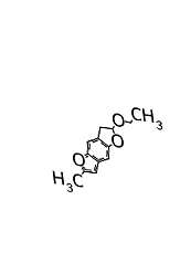 CCOC1Cc2cc3oc(C)cc3cc2O1